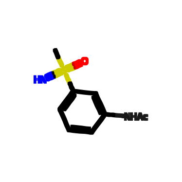 CC(=O)Nc1cccc(S(C)(=N)=O)c1